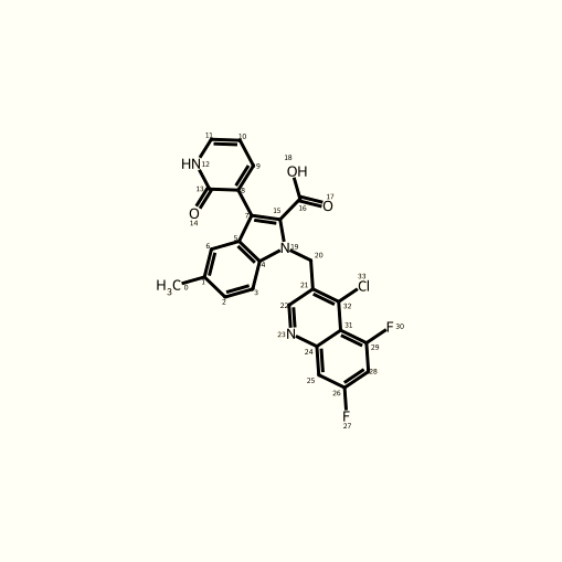 Cc1ccc2c(c1)c(-c1ccc[nH]c1=O)c(C(=O)O)n2Cc1cnc2cc(F)cc(F)c2c1Cl